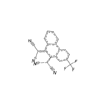 N#CC(C#N)=c1c(=C(C#N)C#N)c2cc(C(F)(F)F)ccc2c2ccccc12